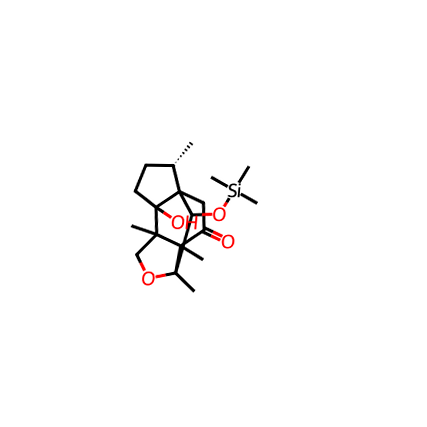 C[C@H]1CCC2(O)C13CC(=O)C1(C)C(C)(OCC21C)C3O[Si](C)(C)C